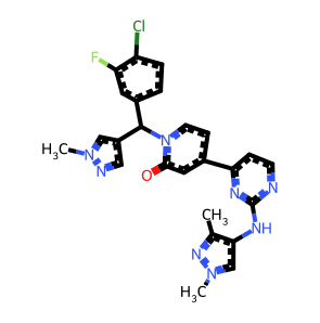 Cc1nn(C)cc1Nc1nccc(-c2ccn(C(c3ccc(Cl)c(F)c3)c3cnn(C)c3)c(=O)c2)n1